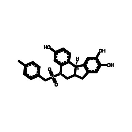 Cc1ccc(CS(=O)(=O)N2CC3Cc4cc(O)c(O)cc4[C@@H]3c3ccc(O)cc32)cc1